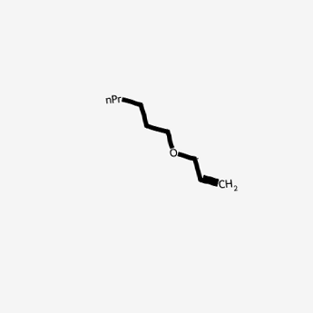 C=C[CH]OCCCCCC